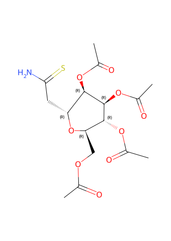 CC(=O)OC[C@H]1O[C@H](CC(N)=S)[C@@H](OC(C)=O)[C@@H](OC(C)=O)[C@@H]1OC(C)=O